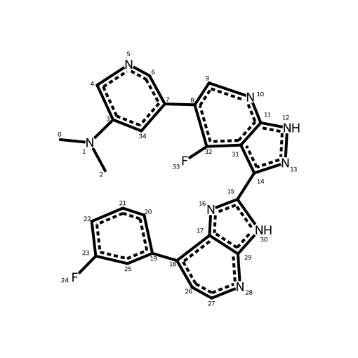 CN(C)c1cncc(-c2cnc3[nH]nc(-c4nc5c(-c6cccc(F)c6)ccnc5[nH]4)c3c2F)c1